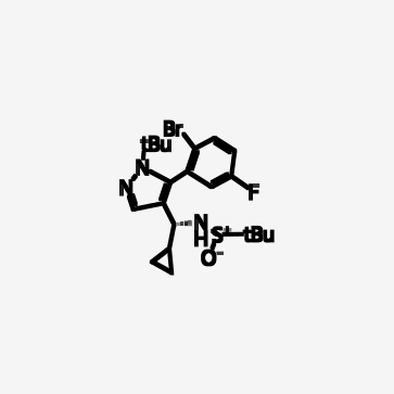 CC(C)(C)n1ncc([C@H](N[S+]([O-])C(C)(C)C)C2CC2)c1-c1cc(F)ccc1Br